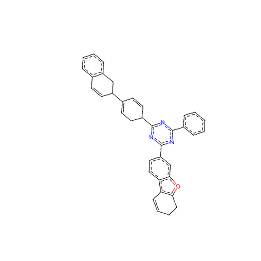 C1=Cc2c(oc3cc(-c4nc(-c5ccccc5)nc(C5C=CC(C6C=Cc7ccccc7C6)=CC5)n4)ccc23)CC1